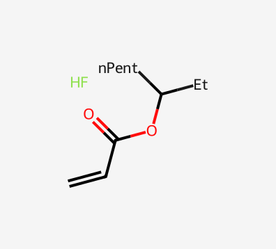 C=CC(=O)OC(CC)CCCCC.F